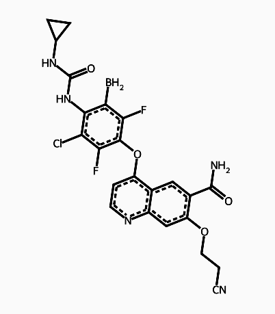 Bc1c(F)c(Oc2ccnc3cc(OCCC#N)c(C(N)=O)cc23)c(F)c(Cl)c1NC(=O)NC1CC1